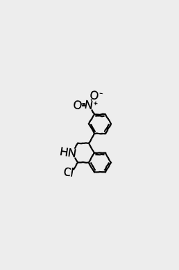 O=[N+]([O-])c1cccc(C2CNC(Cl)c3ccccc32)c1